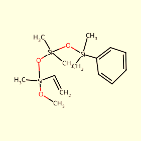 C=C[Si](C)(OC)O[Si](C)(C)O[Si](C)(C)c1ccccc1